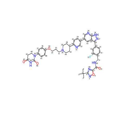 CC(C)(C)c1noc(C(=O)NCc2ccc(-c3n[nH]c4ncc(-c5ccc(C6CCN(CCCOc7ccc(N8CCC(=O)NC8=O)cc7)CC6)nc5)cc34)cc2F)n1